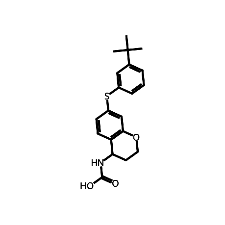 CC(C)(C)c1cccc(Sc2ccc3c(c2)OCCC3NC(=O)O)c1